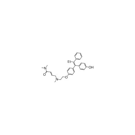 CCC(=C(c1ccc(O)cc1)c1ccc(OCCN(C)CC=CC(=O)N(C)C)cc1)c1ccccc1